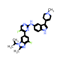 Cc1nc2c(F)cc(-c3nc(Nc4ccc5[nH]cc(C6=CCN(C)CC6)c5c4)ncc3F)cc2n1C(C)C